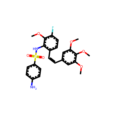 COc1cc(/C=C\c2ccc(F)c(OC)c2NS(=O)(=O)c2ccc(N)cc2)cc(OC)c1OC